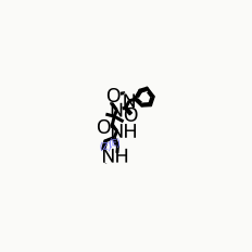 C/C=C(\C=C/NC)NC(=O)C(C)(C)N1COCN(c2ccccc2)C1=O